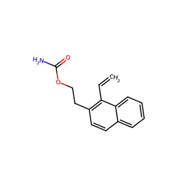 C=Cc1c(CCOC(N)=O)ccc2ccccc12